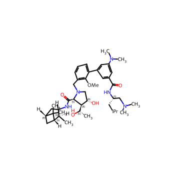 COc1c(CN2C[C@H](O)[C@@H]([C@H](C)O)[C@H]2C(=O)N[C@H]2C[C@H]3C[C@@H]([C@@H]2C)C3(C)C)cccc1-c1cc(C(=O)N[C@@H](CC(C)C)CN(C)C)cc(N(C)C)c1